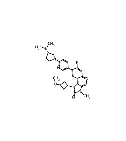 CO[C@H]1C[C@@H](n2c(=O)n(C)c3cnc4cc(F)c(-c5ccc(N6CC[C@H](N(C)C)C6)nc5)cc4c32)C1